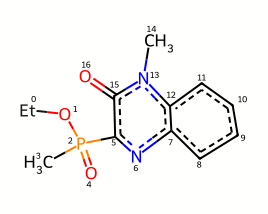 CCOP(C)(=O)c1nc2ccccc2n(C)c1=O